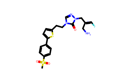 CS(=O)(=O)c1ccc(-c2ccc(CCn3cnn(C/C(=C/F)CN)c3=O)s2)cc1